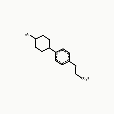 CCCC1CCC(c2ccc(CCC(=O)O)cc2)CC1